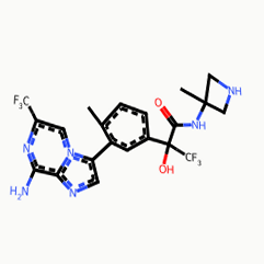 Cc1ccc(C(O)(C(=O)NC2(C)CNC2)C(F)(F)F)cc1-c1cnc2c(N)nc(C(F)(F)F)cn12